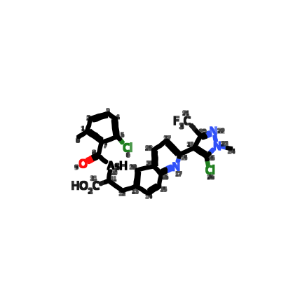 Cc1cccc(Cl)c1C(=O)[AsH]C(Cc1ccc2nc(-c3c(C(F)(F)F)nn(C)c3Cl)ccc2c1)C(=O)O